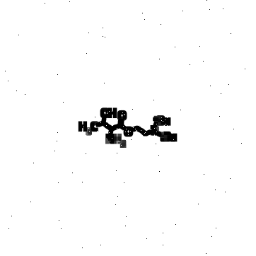 CC(O)C(N)C(=O)OCCN(C(C)(C)C)C(C)(C)C